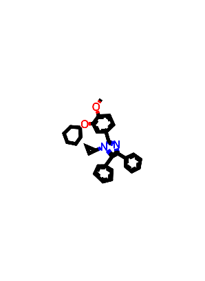 COc1ccc(-c2nc(-c3ccccc3)c(-c3ccccc3)n2C2CC2)cc1OC1CCCCC1